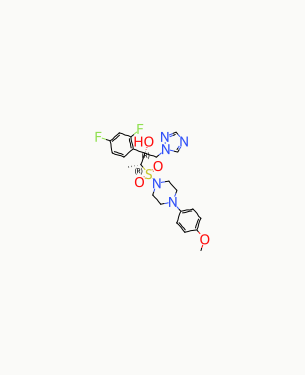 COc1ccc(N2CCN(S(=O)(=O)[C@H](C)[C@](O)(Cn3cncn3)c3ccc(F)cc3F)CC2)cc1